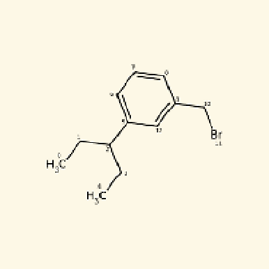 CCC(CC)c1cccc(CBr)c1